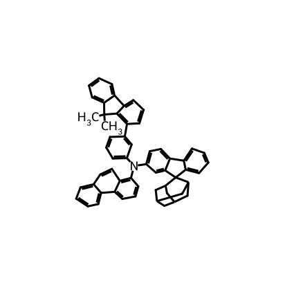 CC1(C)c2ccccc2-c2cccc(-c3cccc(N(c4ccc5c(c4)C4(c6ccccc6-5)C5CC6CC(C5)CC4C6)c4cccc5c4ccc4ccccc45)c3)c21